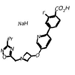 CC(C)c1noc(CN2CC(Oc3ccc(-c4ccc(C(=O)O)c(F)c4)nc3)C2)n1.[NaH]